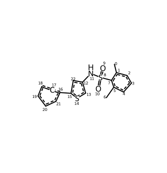 Cc1cccc(C)c1S(=O)(=O)Nc1csc(-c2ccccc2)c1